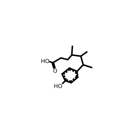 CC(CCC(=O)O)C(C)C(C)c1ccc(O)cc1